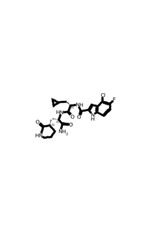 NC(=O)[C@H](C[C@@H]1CCCNC1=O)NC(=O)[C@H](CC1CC1)NC(=O)c1cc2c(Cl)c(F)ccc2[nH]1